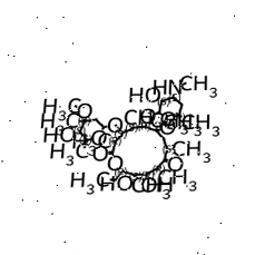 CC[C@H]1OC(=O)[C@H](C)[C@@H](OC2C[C@@](C)(OC)[C@@H](O)[C@H](C)O2)[C@H](C)[C@@H](OC2O[C@H](C)C[C@H](NC)[C@@H]2O)C(C)(OC)C[C@H](C)C(=O)[C@H](C)[C@@H](O)[C@]1(C)O